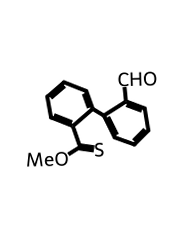 COC(=S)c1ccccc1-c1ccccc1C=O